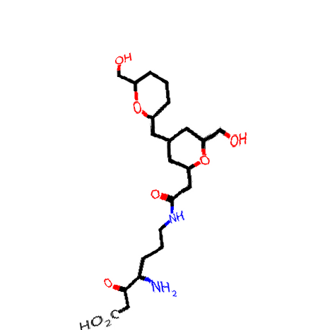 NC(CCCNC(=O)CC1CC(CC2CCCC(CO)O2)CC(CO)O1)C(=O)CC(=O)O